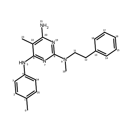 Cc1ccc(Nc2nc(N(C)CCc3ccccc3)nc(N)c2C)cc1